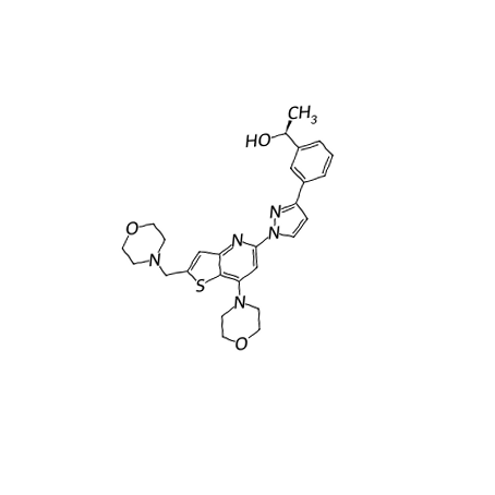 C[C@H](O)c1cccc(-c2ccn(-c3cc(N4CCOCC4)c4sc(CN5CCOCC5)cc4n3)n2)c1